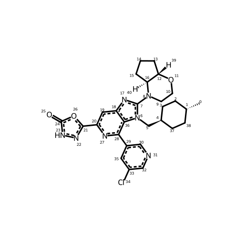 C[C@H]1CC[C@H](Cn2c(N3CCO[C@H]4CCC[C@@H]43)nc3cc(-c4n[nH]c(=O)o4)nc(-c4cncc(Cl)c4)c32)CC1